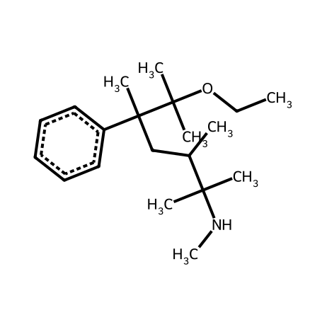 CCOC(C)(C)C(C)(CC(C)C(C)(C)NC)c1ccccc1